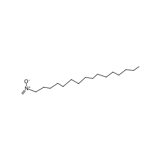 C=[N+]([O-])CCCCCCCCCCCCCCCC